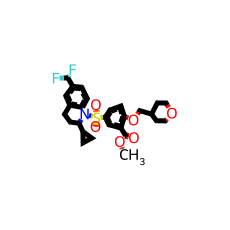 COC(=O)c1cc(S(=O)(=O)N2c3ccc(C(F)F)cc3CCC2C2CC2)ccc1OCC1CCOCC1